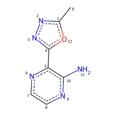 Cc1nnc(-c2nccnc2N)o1